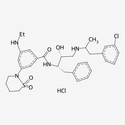 CCNc1cc(C(=O)N[C@@H](Cc2ccccc2)[C@H](O)CNC(C)Cc2cccc(Cl)c2)cc(N2CCCCS2(=O)=O)c1.Cl